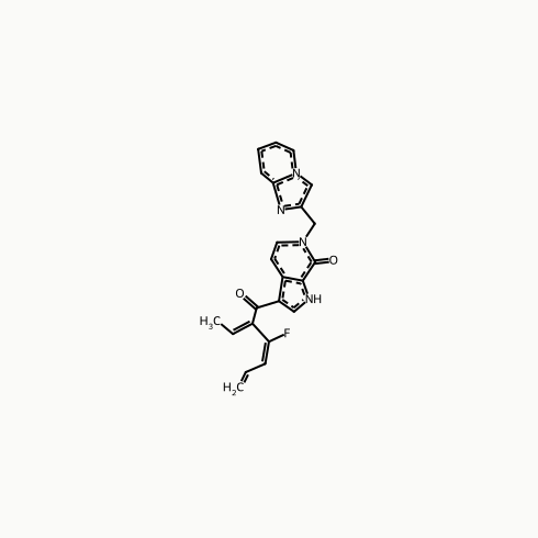 C=C/C=C(F)\C(=C\C)C(=O)c1c[nH]c2c(=O)n(Cc3cn4ccccc4n3)ccc12